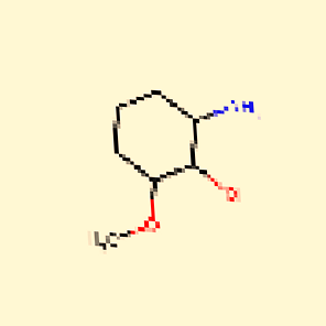 COC1CCCC(N)C1O